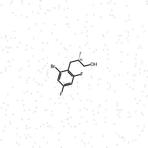 C[C@H](CO)Cc1c(F)cc(F)cc1Br